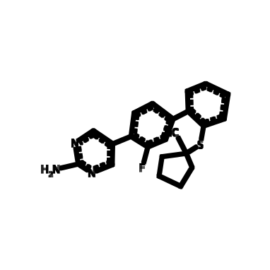 N#CC1(Sc2ccccc2-c2ccc(-c3cnc(N)nc3)c(F)c2)CCCC1